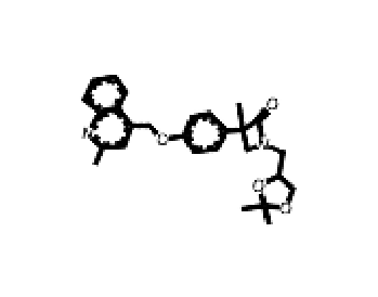 Cc1cc(COc2ccc(C3(C)CN(CC4COC(C)(C)O4)C3=O)cc2)c2ccccc2n1